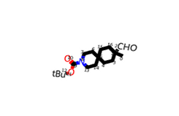 CC1(C=O)CCC2(CCN(C(=O)OC(C)(C)C)CC2)CC1